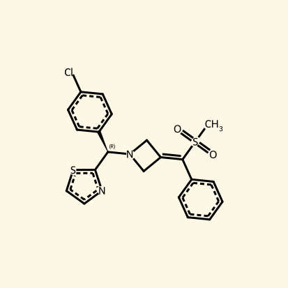 CS(=O)(=O)C(=C1CN([C@H](c2ccc(Cl)cc2)c2nccs2)C1)c1ccccc1